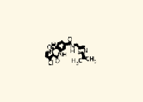 CC(C)c1ncc(CNC(=O)c2ccc3c(c2)NC(=O)c2c(Cl)ccn2S3(=O)=O)s1